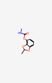 CNC(=O)Oc1cccc2c1OC(C)O2